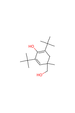 CC1(CO)C=C(C(C)(C)C)C(O)=C(C(C)(C)C)C1